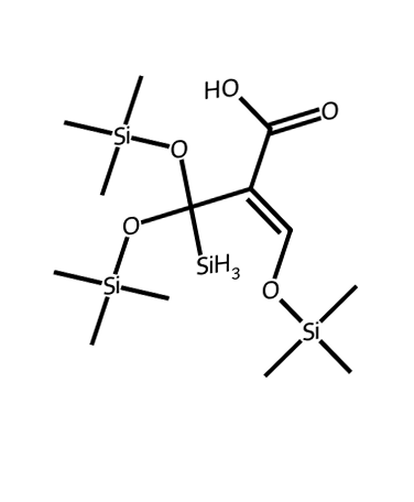 C[Si](C)(C)OC=C(C(=O)O)C([SiH3])(O[Si](C)(C)C)O[Si](C)(C)C